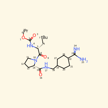 CC(C)OC(=O)N[C@H](CC(C)(C)C)C(=O)N1CCC[C@H]1C(=O)NCC1CCC(C(=N)N)CC1